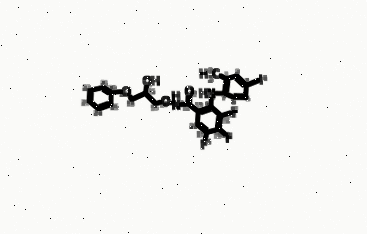 Cc1cc(I)ccc1Nc1c(C(=O)NOCC(O)COc2ccccc2)cc(F)c(F)c1F